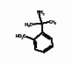 CC(C)(N)c1ccccc1C(=O)O